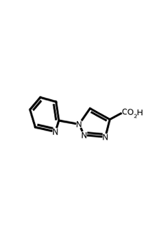 O=C(O)c1cn(-c2ccccn2)nn1